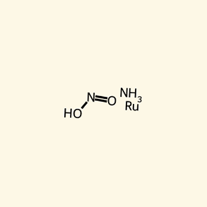 N.O=NO.[Ru]